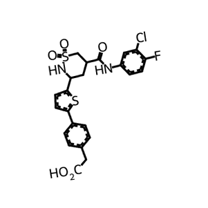 O=C(O)Cc1ccc(-c2ccc(C3CC(C(=O)Nc4ccc(F)c(Cl)c4)CS(=O)(=O)N3)s2)cc1